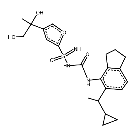 CC(c1ccc2c(c1NC(=O)NS(=N)(=O)c1cc(C(C)(O)CO)co1)CCC2)C1CC1